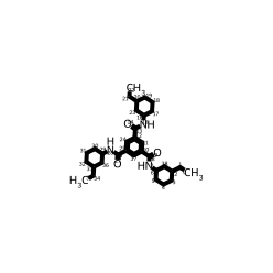 CCC1CCCC(NC(=O)c2cc(C(=O)NC3CCCC(CC)C3)cc(C(=O)NC3CCCC(CC)C3)c2)C1